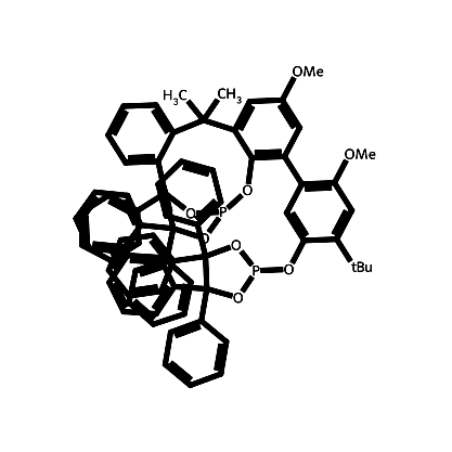 COc1cc(-c2cc(OP3OC(c4ccccc4)(c4ccccc4)C(c4ccccc4)(c4ccccc4)O3)c(C(C)(C)C)cc2OC)c2c(c1)C(C)(C)c1ccccc1C1(c3ccccc3)OP(O2)OC1(c1ccccc1)c1ccccc1